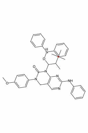 COc1ccc(N2Cc3cnc(Nc4ccccc4)nc3N(C(O[SiH](c3ccccc3)c3ccccc3)C(C)C(C)(C)C)C2=O)cc1